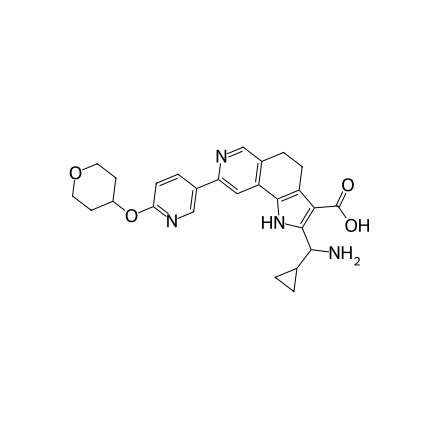 NC(c1[nH]c2c(c1C(=O)O)CCc1cnc(-c3ccc(OC4CCOCC4)nc3)cc1-2)C1CC1